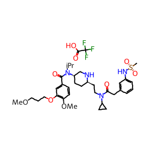 COCCCOc1cc(C(=O)N(C(C)C)[C@@H]2CC[C@H](CCN(C(=O)Cc3cccc(NS(C)(=O)=O)c3)C3CC3)NC2)ccc1OC.O=C(O)C(F)(F)F